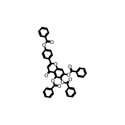 O=C(Oc1ccc(-c2cc(=O)c3c(OC(=O)c4ccccc4)c(OC(=O)c4ccccc4)c(OC(=O)c4ccccc4)cc3o2)cc1)c1ccccc1